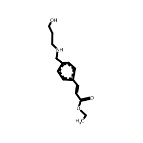 CCOC(=O)/C=C/c1ccc(CNCCCO)cc1